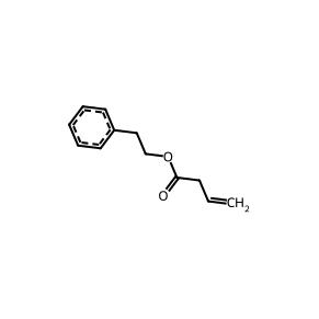 C=CCC(=O)OCCc1ccccc1